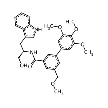 COCc1cc(C(=O)N[C@@H](CO)Cc2c[nH]c3ccccc23)cc(-c2cc(OC)c(OC)c(OC)c2)c1